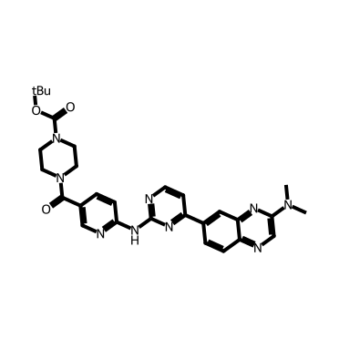 CN(C)c1cnc2ccc(-c3ccnc(Nc4ccc(C(=O)N5CCN(C(=O)OC(C)(C)C)CC5)cn4)n3)cc2n1